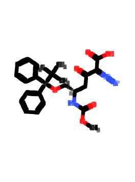 COC(=O)N[C@H](CO[Si](c1ccccc1)(c1ccccc1)C(C)(C)C)CC(=O)C(=[N+]=[N-])C(=O)O